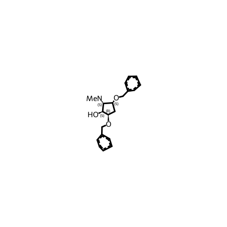 CN[C@H]1[C@H](O)[C@H](OCc2ccccc2)C[C@@H]1OCc1ccccc1